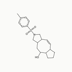 Cc1ccc(S(=O)(=O)N2CC3/C=C\C4CCCC4C(O)CC3C2)cc1